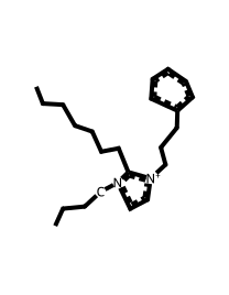 CCCCCCCc1n(CCCC)cc[n+]1CCCc1ccccc1